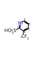 O=S(=O)(O)c1ncccc1C(F)(F)F